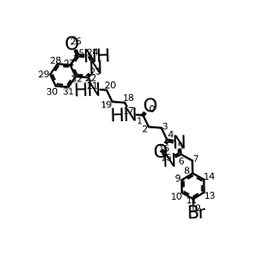 O=C(CCc1nc(Cc2ccc(Br)cc2)no1)NCCCNc1n[nH]c(=O)c2ccccc12